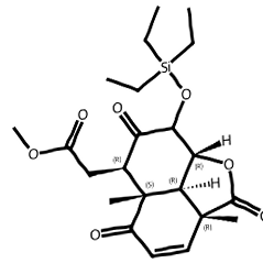 CC[Si](CC)(CC)OC1C(=O)[C@H](CC(=O)OC)[C@@]2(C)C(=O)C=C[C@@]3(C)C(=O)O[C@@H]1[C@H]23